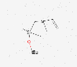 C=C[Si](C)(C)C[Si](C)(C)OC(C)(C)C